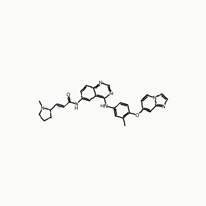 Cc1cc(Nc2ncnc3ccc(NC(=O)/C=C/C4CCCN4C)cc23)ccc1Oc1ccn2ccnc2c1